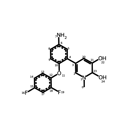 CN1C=C(c2cc(N)ccc2Oc2ccc(F)cc2F)C=C(O)C1O